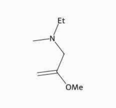 C=C(CN(C)CC)OC